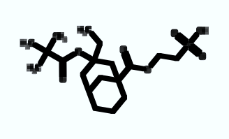 CCC1(OC(=O)C(C)(C)C)CC2CCCC(C(=O)OCCS(=O)(=O)O)(C2)C1